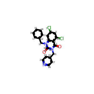 O=c1c2c(Cl)cc(Cl)cc2n(Cc2ccccc2)c(=O)n1Cc1ccncc1